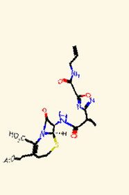 C=CCNC(=O)c1nc(C(C)C(=O)N[C@@H]2C(=O)N3C(C(=O)O)=C(COC(C)=O)CS[C@H]23)no1